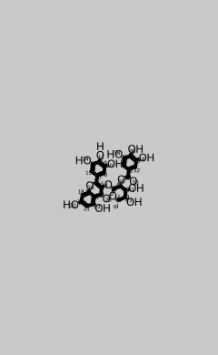 C[C@@H]1O[C@@H](Oc2c(-c3cc(O)c(O)c(O)c3)oc3cc(O)cc(O)c3c2=O)[C@H](OC(=O)c2cc(O)c(O)c(O)c2)[C@H](O)[C@H]1O